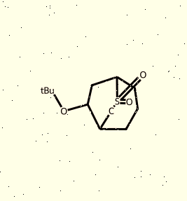 CC(C)(C)OC1CC2CCCC1CS2(=O)=O